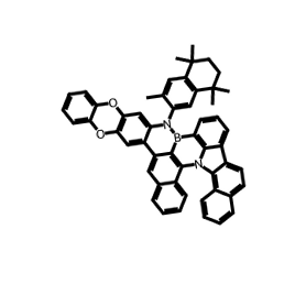 Cc1cc2c(cc1N1B3c4c(cc5ccccc5c4-n4c5c3cccc5c3ccc5ccccc5c34)-c3cc4c(cc31)Oc1ccccc1O4)C(C)(C)CCC2(C)C